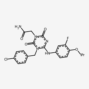 CC(C)Oc1ccc(Nc2nc(=O)n(CC(N)=O)c(=O)n2Cc2ccc(Cl)cc2)cc1F